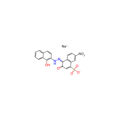 O=C1C=C(S(=O)(=O)[O-])c2cc([N+](=O)[O-])ccc2/C1=N/Nc1ccc2ccccc2c1O.[Na+]